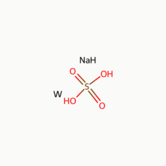 O=S(=O)(O)O.[NaH].[W]